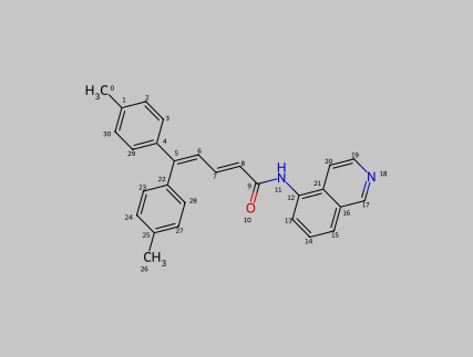 Cc1ccc(C(=CC=CC(=O)Nc2cccc3cnccc23)c2ccc(C)cc2)cc1